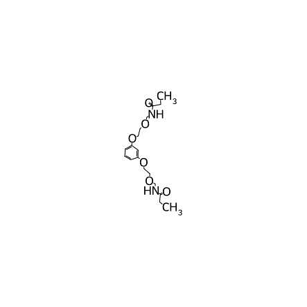 CCC(=O)NCOCCOc1cccc(OCCOCNC(=O)CC)c1